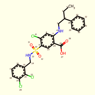 CCC(CNc1cc(Cl)c(S(=O)(=O)NCc2cccc(Cl)c2Cl)cc1C(=O)O)c1ccccc1